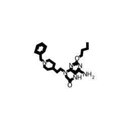 CCCCOc1nc(N)c2c(n1)N(CCC1CCN(Cc3ccccc3)CC1)CC(=O)N2